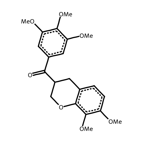 COc1cc(C(=O)C2COc3c(ccc(OC)c3OC)C2)cc(OC)c1OC